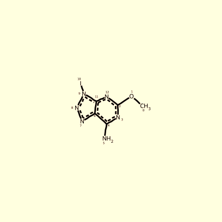 COc1nc(N)c2nnn(I)c2n1